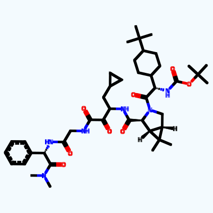 CN(C)C(=O)[C@@H](NC(=O)CNC(=O)C(=O)C(CC1CC1)NC(=O)[C@@H]1[C@@H]2[C@H](CN1C(=O)[C@@H](NC(=O)OC(C)(C)C)C1CCC(C(C)(C)C)CC1)C2(C)C)c1ccccc1